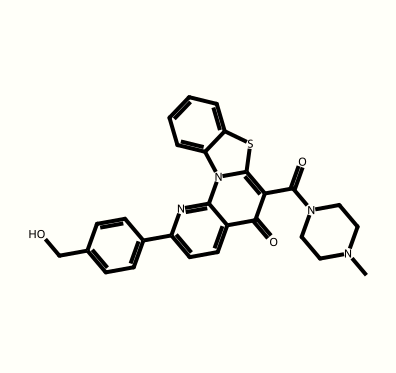 CN1CCN(C(=O)c2c(=O)c3ccc(-c4ccc(CO)cc4)nc3n3c2sc2ccccc23)CC1